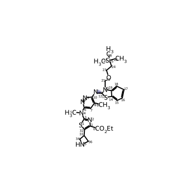 CCOC(=O)c1nc(N(C)c2cc(C)c(/N=c3\sc4ccccc4n3COCC[Si](C)(C)C)nn2)sc1C1CNC1